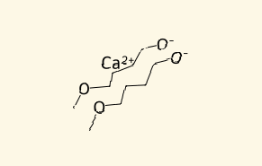 COCCCC[O-].COCCCC[O-].[Ca+2]